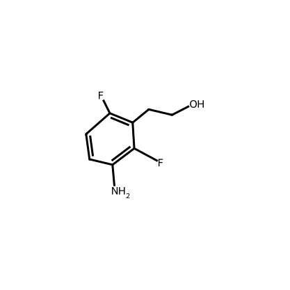 Nc1ccc(F)c(CCO)c1F